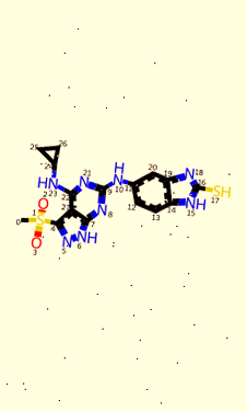 CS(=O)(=O)c1n[nH]c2nc(Nc3ccc4[nH]c(S)nc4c3)nc(NC3CC3)c12